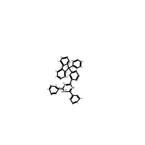 c1ccc(C2=NC(c3cccc(C4(c5ccccc5)c5ccccc5-c5ccccc54)c3)=NC(c3ccccc3)N2)cc1